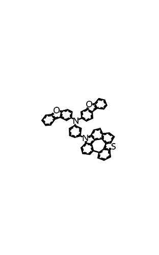 c1cc(N(c2ccc3c(c2)oc2ccccc23)c2ccc3oc4ccccc4c3c2)cc(-n2c3cccc4c3c3c5c(ccc6sc7cccc-4c7c65)ccc32)c1